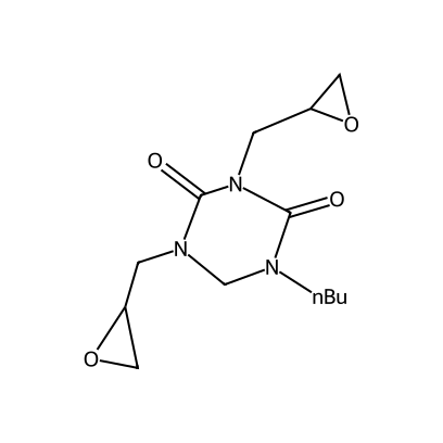 CCCCN1CN(CC2CO2)C(=O)N(CC2CO2)C1=O